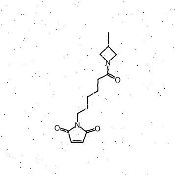 O=C(CCCCCN1C(=O)C=CC1=O)N1CC(I)C1